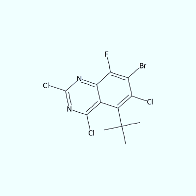 CC(C)(C)c1c(Cl)c(Br)c(F)c2nc(Cl)nc(Cl)c12